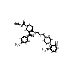 CC(C)(C)OC(=O)N1CCc2c(c(-c3ccc(C(F)(F)F)cc3)nn2CCCN2CCN(c3c(N)cccc3Cl)CC2)C1